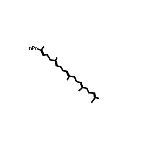 CCC/C(C)=C/CC/C(C)=C/CC/C=C(\C)CC/C=C(\C)CCC=C(C)C